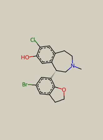 CN1CCc2cc(Cl)c(O)cc2[C@@H](c2cc(Br)cc3c2OCC3)C1